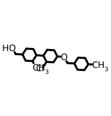 CC1CCC(COC2CCC(C3CCC(CO)CC3C)C(Cl)C2)CC1